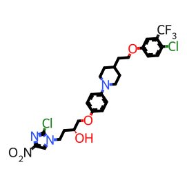 O=[N+]([O-])c1cn(CC[C@@H](O)COc2ccc(N3CCC(CCOc4ccc(Cl)c(C(F)(F)F)c4)CC3)cc2)c(Cl)n1